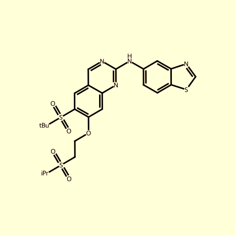 CC(C)S(=O)(=O)CCOc1cc2nc(Nc3ccc4scnc4c3)ncc2cc1S(=O)(=O)C(C)(C)C